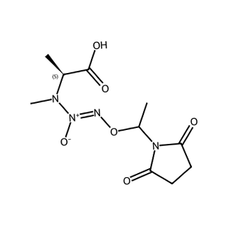 CC(ON=[N+]([O-])N(C)[C@@H](C)C(=O)O)N1C(=O)CCC1=O